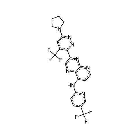 FC(F)(F)c1ccc(Nc2ccnc3nc(-c4nnc(N5CCCC5)cc4C(F)(F)F)cnc23)nc1